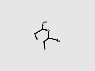 CC(C)(C)C(CCl)OC(CCl)C(C)(C)C